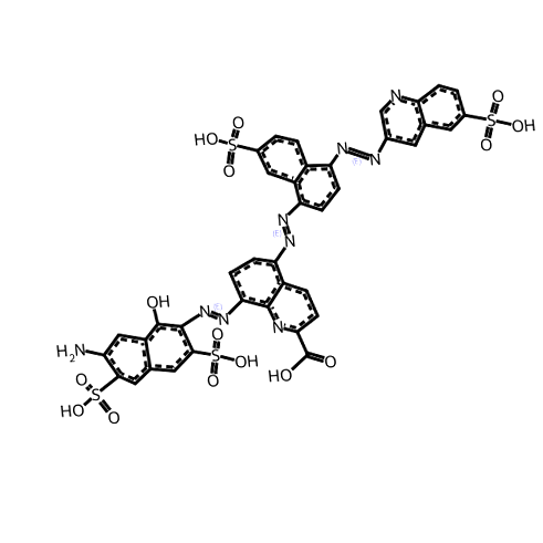 Nc1cc2c(O)c(/N=N/c3ccc(/N=N/c4ccc(/N=N/c5cnc6ccc(S(=O)(=O)O)cc6c5)c5ccc(S(=O)(=O)O)cc45)c4ccc(C(=O)O)nc34)c(S(=O)(=O)O)cc2cc1S(=O)(=O)O